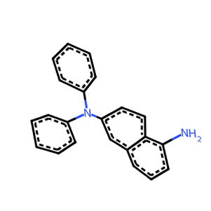 Nc1cccc2cc(N(c3ccccc3)c3ccccc3)ccc12